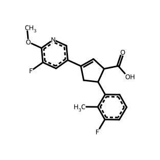 COc1ncc(C2=CC(C(=O)O)C(c3cccc(F)c3C)C2)cc1F